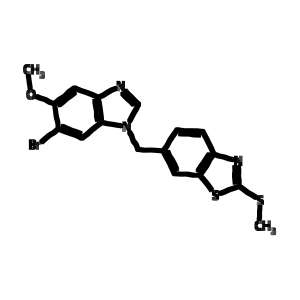 COc1cc2ncn(Cc3ccc4nc(SC)sc4c3)c2cc1Br